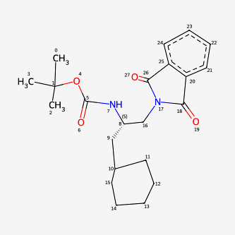 CC(C)(C)OC(=O)N[C@@H](CC1CCCCC1)CN1C(=O)c2ccccc2C1=O